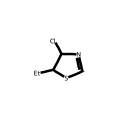 CCC1S[C]=NC1Cl